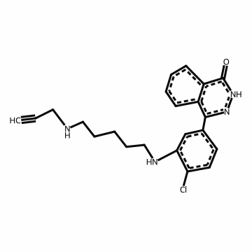 C#CCNCCCCCNc1cc(-c2n[nH]c(=O)c3ccccc23)ccc1Cl